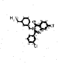 NCC1CCCC(Cn2c(-c3cccc(Cl)c3)nc3cc(Cl)ccc3c2=O)C1